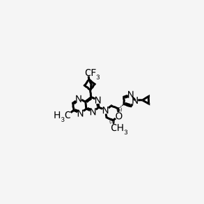 Cc1cnc2c(C34CC(C(F)(F)F)(C3)C4)nc(N3C[C@H](C)O[C@@H](c4cnn(C5CC5)c4)C3)nc2n1